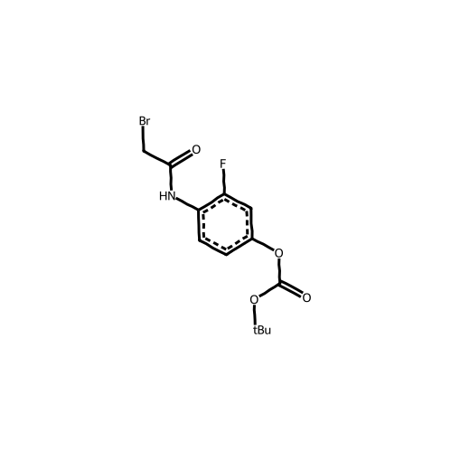 CC(C)(C)OC(=O)Oc1ccc(NC(=O)CBr)c(F)c1